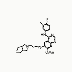 COc1cc2ncnc(Nc3ccc(F)c(C)c3)c2cc1OCCCN1CC2COCC2C1